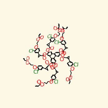 C=CC(=C)OCCCOc1ccc(C2CC2C(=O)Oc2cc3c(cc2OC(=O)C2CC2c2ccc(OCCCOC(=O)C=C)c(Cl)c2)c2cc(OC(=O)C4CC4c4ccc(OCCCOC(=O)C=C)c(Cl)c4)c(OC(=O)C4CC4c4ccc(OCCCOC(=O)C=C)c(Cl)c4)cc2c2cc(OC(=O)C4CC4c4ccc(OCCCOC(=O)C=C)c(Cl)c4)c(OC(=O)C4CC4c4ccc(OCCCOC(=O)C=C)c(Cl)c4)cc32)cc1Cl